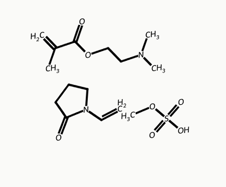 C=C(C)C(=O)OCCN(C)C.C=CN1CCCC1=O.COS(=O)(=O)O